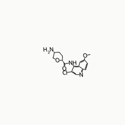 COc1ccc2ncc(Cl)c(NC(=O)[C@@H]3CC[C@@H](N)CO3)c2c1